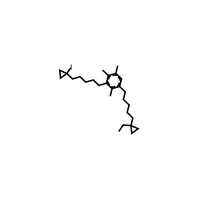 CCC1(CCCCCc2cc(C)c(C)c(CCCCCC3(I)CC3)c2C)CC1